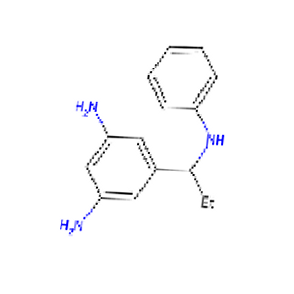 [CH2]CC(Nc1ccccc1)c1cc(N)cc(N)c1